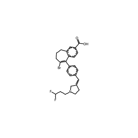 O=C(O)c1ccc2c(c1)CCCC(Br)=C2c1ccc(C=C2CCN(CCC(F)F)C2)cc1